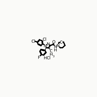 C[C@@H]1C(C(=O)NN2CCCCCC2)=NN(c2ccc(Cl)cc2Cl)[C@@H]1c1ccc(F)cc1.Cl